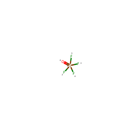 O=S(F)(F)(F)F